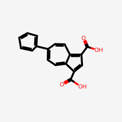 O=C(O)c1cc(C(=O)O)c2ccc(-c3ccccc3)ccc1-2